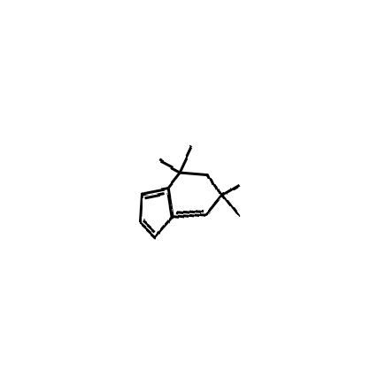 CC1(C)C=C2C=CC=C2C(C)(C)C1